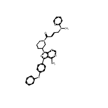 CN(CC=CC(=O)N1CCCC(n2nc(-c3ccc(Oc4ccccc4)cc3)c3c(N)ncnc32)C1)c1ccccn1